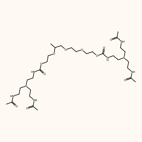 CC(=O)NCCN(CCNC(C)=O)CCNC(=O)OCCOCCOCC(C)OCCOC(=O)NCCN(CCNC(C)=O)CCNC(C)=O